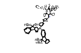 CCCCC1(CCCC)c2ccccc2-c2ccc(N(c3ccc(-c4ccc(/C=C5\C(=O)N(CC(=O)O)C(=S)N(OOCC)C5=O)s4)cc3)c3ccc4c(c3)C(CCCC)(CCCC)c3ccccc3-4)cc21